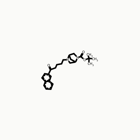 CC(C)(C)OC(=O)N1CC2CC1CN2CCCCC(=O)c1ccc2ccccc2c1